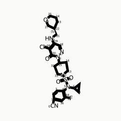 N#Cc1ccc(N(C2CC2)S(=O)(=O)N2CCC(n3ncc(NC[C@@H]4CCCOC4)c(Cl)c3=O)CC2)c(F)c1